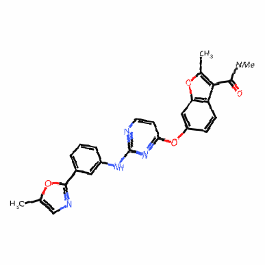 CNC(=O)c1c(C)oc2cc(Oc3ccnc(Nc4cccc(-c5ncc(C)o5)c4)n3)ccc12